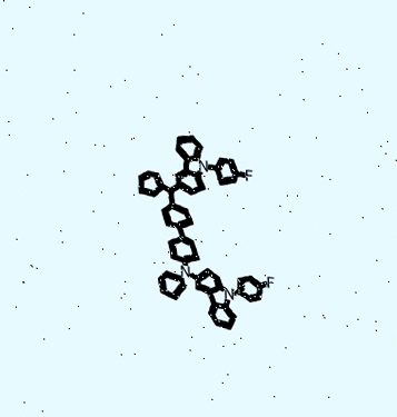 Fc1ccc(-n2c3ccccc3c3cc(C(c4ccccc4)c4ccc(-c5ccc(N(c6ccccc6)c6ccc7c(c6)c6ccccc6n7-c6ccc(F)cc6)cc5)cc4)ccc32)cc1